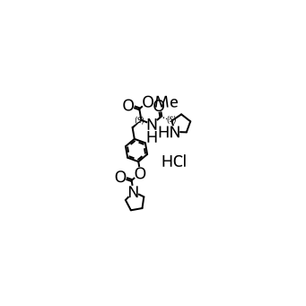 COC(=O)[C@H](Cc1ccc(OC(=O)N2CCCC2)cc1)NC(=O)[C@@H]1CCCN1.Cl